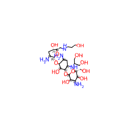 N[C@@H]1[C@@H](O)[C@@H](O[C@H]2[C@H](NC(CO)CO)C[C@H](N)C(O[C@H]3O[C@H](CNCCCO)[C@@H](O)C[C@H]3N)[C@@H]2O)O[C@H](CO)[C@H]1O